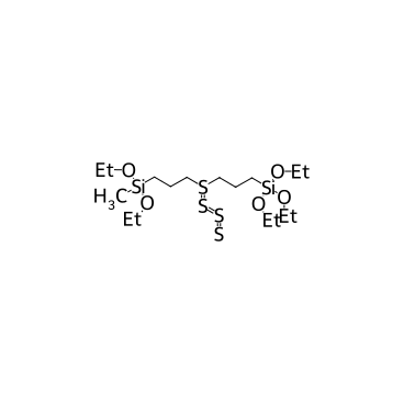 CCO[Si](C)(CCCS(CCC[Si](OCC)(OCC)OCC)=S=S=S)OCC